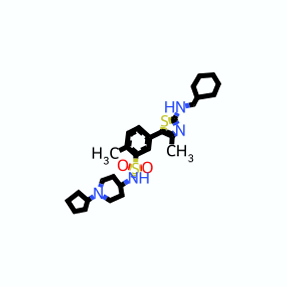 Cc1ccc(-c2sc(NCC3CCCCC3)nc2C)cc1S(=O)(=O)NC1CCN(C2CCCC2)CC1